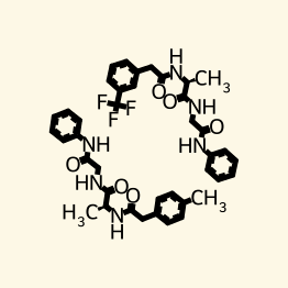 C[C@H](NC(=O)Cc1cccc(C(F)(F)F)c1)C(=O)NCC(=O)Nc1ccccc1.Cc1ccc(CC(=O)N[C@@H](C)C(=O)NCC(=O)Nc2ccccc2)cc1